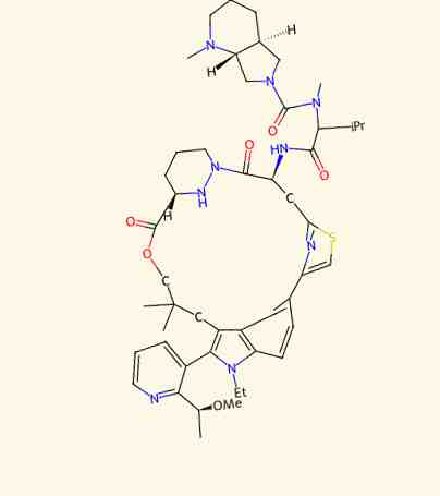 CCn1c(-c2cccnc2[C@H](C)OC)c2c3cc(ccc31)-c1csc(n1)C[C@H](NC(=O)C(C(C)C)N(C)C(=O)N1C[C@@H]3CCCN(C)[C@H]3C1)C(=O)N1CCC[C@H](N1)C(=O)OCC(C)(C)C2